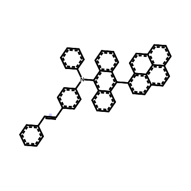 C(=C\c1ccc(N(c2ccccc2)c2c3ccccc3c(-c3ccc4ccc5cccc6ccc3c4c56)c3ccccc23)cc1)/c1ccccc1